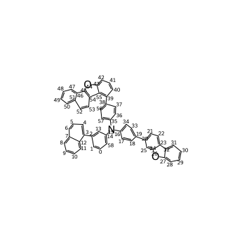 c1cc(-c2cccc3ccccc23)cc(N(c2ccc(-c3ccc4c(c3)oc3ccccc34)cc2)c2ccc(-c3cccc4oc5c6ccccc6ccc5c34)cc2)c1